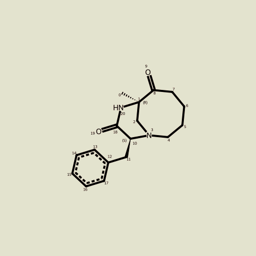 C[C@@]12CN(CCCCC1=O)[C@@H](Cc1ccccc1)C(=O)N2